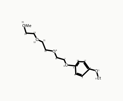 CCOc1ccc(OCCOCCOCCOC)cc1